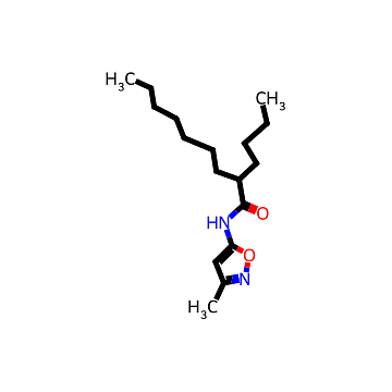 CCCCCCCC(CCCC)C(=O)Nc1cc(C)no1